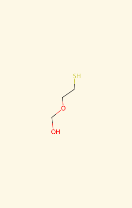 OCOCCS